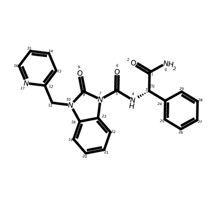 NC(=O)[C@@H](NC(=O)n1c(=O)n(Cc2ccccn2)c2ccccc21)c1ccccc1